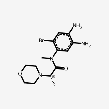 C[C@@H](C(=O)N(C)c1cc(N)c(N)cc1Br)N1CCOCC1